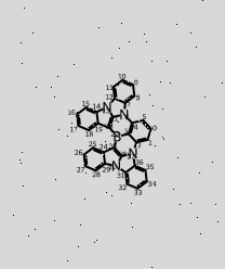 c1cc2c3c(c1)-n1c4ccccc4n4c5ccccc5c(c14)B3c1c3ccccc3n3c4ccccc4n-2c13